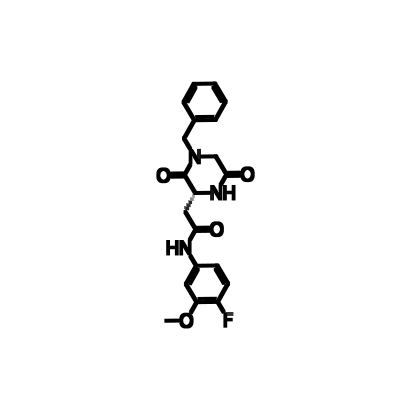 COc1cc(NC(=O)C[C@H]2NC(=O)CN(Cc3ccccc3)C2=O)ccc1F